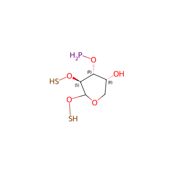 O[C@@H]1COC(OS)[C@@H](OS)[C@@H]1OP